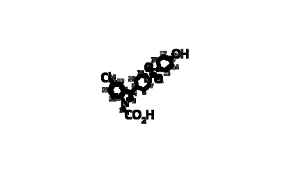 O=C(O)Cn1cc(C2CCN(S(=O)(=O)C3C=CC(O)=CC3)CC2)c2cc(Cl)ccc21